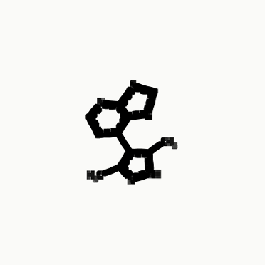 Cc1n[nH]c(C)c1-c1ccnc2scnc12